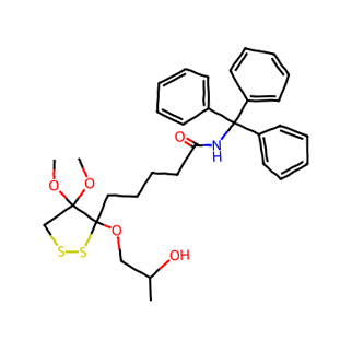 COC1(OC)CSSC1(CCCCC(=O)NC(c1ccccc1)(c1ccccc1)c1ccccc1)OCC(C)O